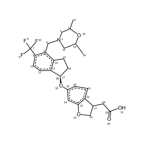 CC1CN(Cc2c(C(F)(F)F)ccc3c2CC[C@H]3Oc2ccc3c(c2)OCC3CC(=O)O)CC(C)O1